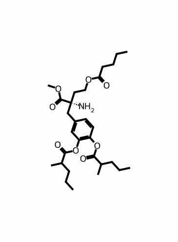 CCCCC(=O)OCC[C@@](N)(Cc1ccc(OC(=O)C(C)CCC)c(OC(=O)C(C)CCC)c1)C(=O)OC